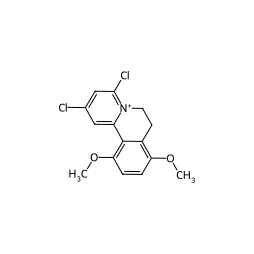 COc1ccc(OC)c2c1CC[n+]1c(Cl)cc(Cl)cc1-2